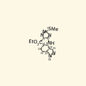 CCOC(=O)c1nnc(SC)nc1Nc1cccc2c1cnn2C